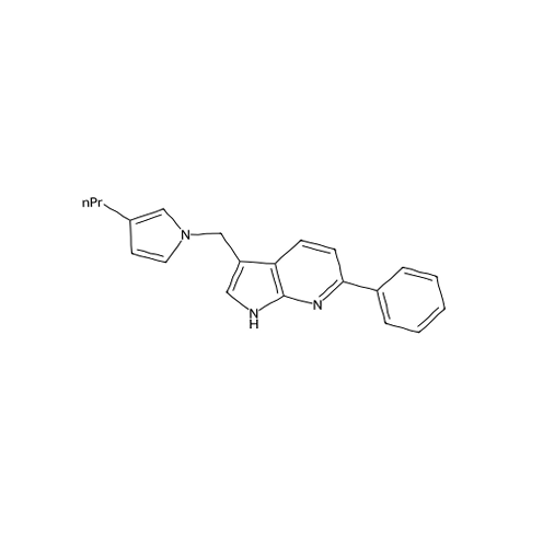 CCCc1ccn(Cc2c[nH]c3nc(-c4ccccc4)ccc23)c1